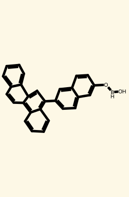 OBOc1ccc2cc(-c3cc4c5ccccc5ccc4c4ccccc34)ccc2c1